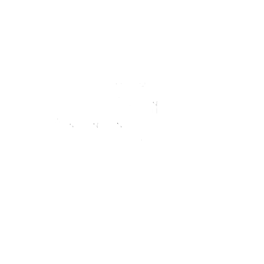 CN(CCF)c1ccc2c(=O)c(C(=O)NCCCCF)cn(-c3ccc(F)cc3F)c2n1